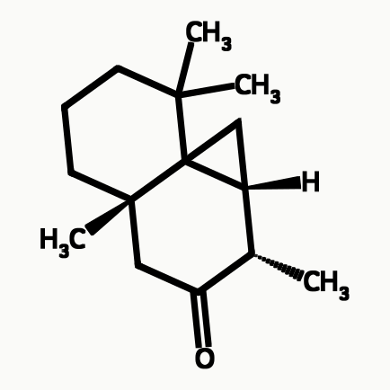 C[C@@H]1C(=O)C[C@]2(C)CCCC(C)(C)C23C[C@H]13